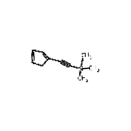 C[Si](C)(C)C#CC1=CC=CC1